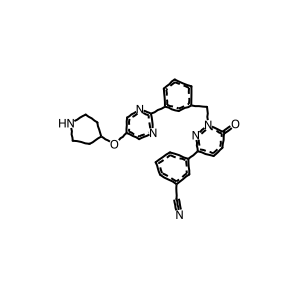 N#Cc1cccc(-c2ccc(=O)n(Cc3cccc(-c4ncc(OC5CCNCC5)cn4)c3)n2)c1